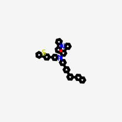 c1cc(-c2ccc(-c3ccc(N(c4ccc(-c5ccc6c(c5)sc5ccccc56)cc4)c4ccc(-c5ccccc5-n5c6ccccc6c6ccccc65)cc4)cc3)cc2)cc(-c2ccc3ccccc3c2)c1